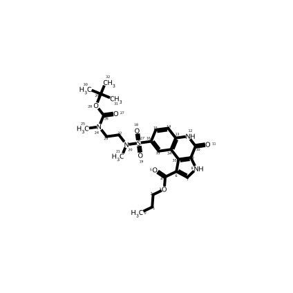 CCCOC(=O)c1c[nH]c2c(=O)[nH]c3ccc(S(=O)(=O)N(C)CCN(C)C(=O)OC(C)(C)C)cc3c12